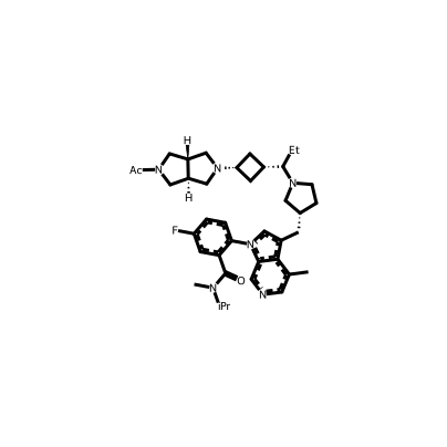 CCC([C@H]1C[C@@H](N2C[C@H]3CN(C(C)=O)C[C@@H]3C2)C1)N1CC[C@H](Cc2cn(-c3ccc(F)cc3C(=O)N(C)C(C)C)c3cncc(C)c23)C1